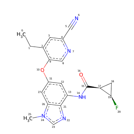 CCc1cc(C#N)ncc1Oc1cc(NC(=O)[C@H]2C[C@H]2F)c2ncn(C)c2c1